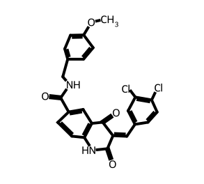 COc1ccc(CNC(=O)c2ccc3c(c2)C(=O)/C(=C\c2ccc(Cl)c(Cl)c2)C(=O)N3)cc1